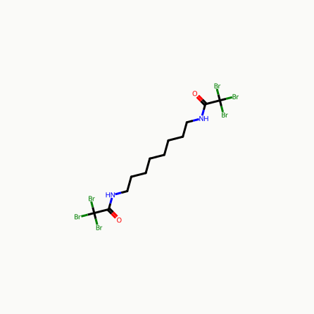 O=C(NCCCCCCCCNC(=O)C(Br)(Br)Br)C(Br)(Br)Br